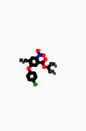 Cc1cc([N+](=O)[O-])c(C(=O)OC(C)C)cc1Oc1ccc(Br)cc1